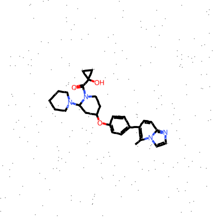 Cc1c(-c2ccc(OC3CCN(C(=O)C4(O)CC4)C(N4CCCCC4)C3)cc2)ccc2nccn12